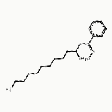 CCCCCCCCCCC(O)CC(=NO)c1ccccc1